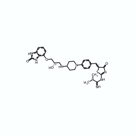 CN(C)C(=N)NC1=NC(=O)/C(=C/c2ccc(N3CCC(NC[C@H](O)COc4cccc5[nH]c(=O)[nH]c45)CC3)cc2)S1